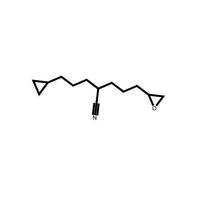 N#CC(CCCC1CC1)CCCC1CO1